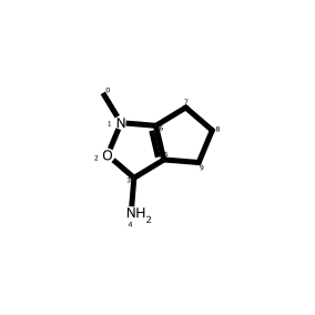 CN1OC(N)C2=C1CCC2